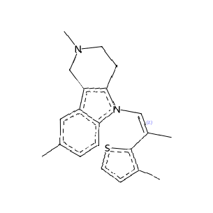 C/C(=C/n1c2c(c3cc(C)ccc31)CN(C)CC2)c1sccc1C